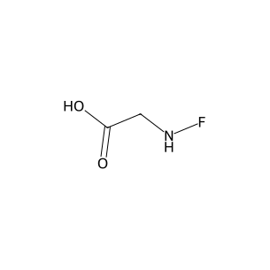 O=C(O)CNF